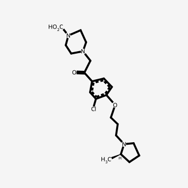 C[C@@H]1CCCN1CCCOc1ccc(C(=O)CN2CCN(C(=O)O)CC2)cc1Cl